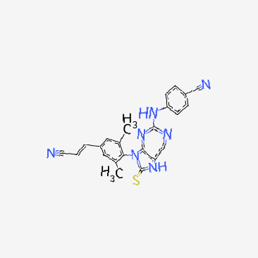 Cc1cc(/C=C/C#N)cc(C)c1-n1c(=S)[nH]c2cnc(Nc3ccc(C#N)cc3)nc21